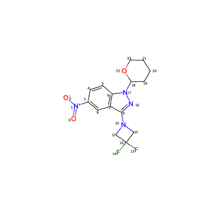 O=[N+]([O-])c1ccc2c(c1)c(N1CC(F)(F)C1)nn2C1CCCCO1